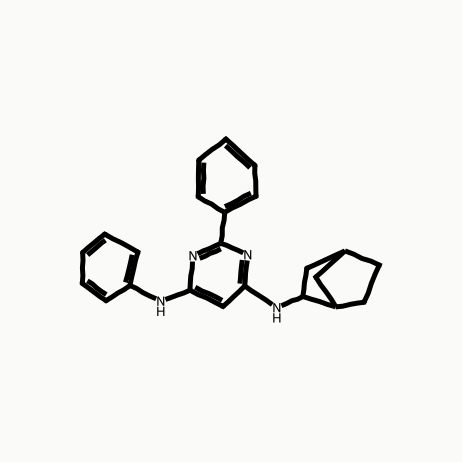 c1ccc(Nc2cc(NC3CC4CCC3C4)nc(-c3ccccc3)n2)cc1